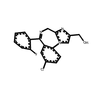 OCc1cn2c(n1)CN=C(c1ccccc1F)c1cc(Cl)ccc1-2